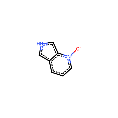 [O-][n+]1cccc2c[nH]cc21